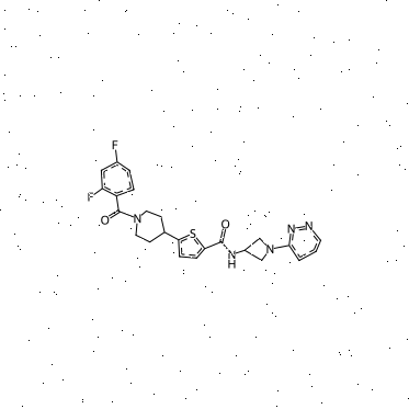 O=C(NC1CN(c2cccnn2)C1)c1ccc(C2CCN(C(=O)c3ccc(F)cc3F)CC2)s1